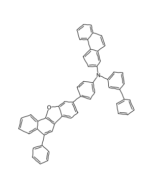 c1ccc(-c2cccc(N(c3ccc(-c4ccc5c(c4)oc4c6ccccc6c(-c6ccccc6)cc54)cc3)c3ccc4c(ccc5ccccc54)c3)c2)cc1